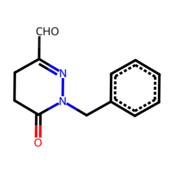 O=CC1=NN(Cc2ccccc2)C(=O)CC1